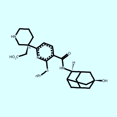 CCCSc1nc([C@@]2(CC(=O)O)CCCNC2)ccc1C(=O)N[C@H]1C2CC3CC1C[C@@](O)(C3)C2